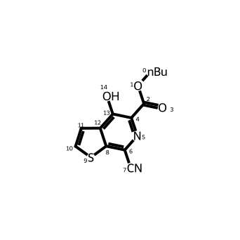 CCCCOC(=O)c1nc(C#N)c2sccc2c1O